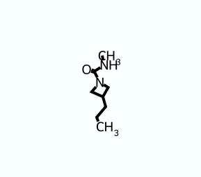 CCCC1CN(C(=O)NC)C1